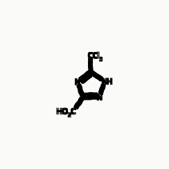 O=C(O)c1n[nH]c(C(Cl)(Cl)Cl)n1